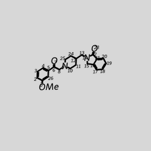 COc1cccc(C(=O)CN2CCC(CN3Cc4ccccc4C3=O)CC2)c1